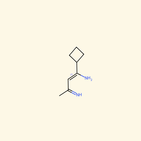 CC(=N)/C=C(\N)C1CCC1